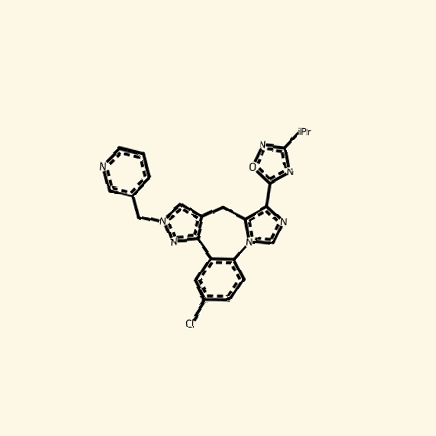 CC(C)c1noc(-c2ncn3c2Cc2cn(Cc4cccnc4)nc2-c2cc(Cl)ccc2-3)n1